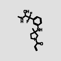 C=CC(=O)N1CCC(C)(Nc2cccc(C(F)(F)C(O)NC)c2)C1